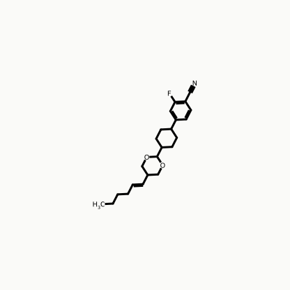 CCCCC=CC1COC(C2CCC(c3ccc(C#N)c(F)c3)CC2)OC1